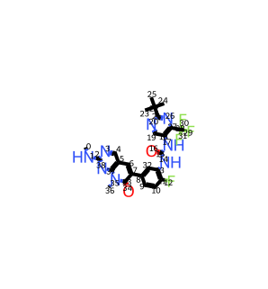 CNc1ncc2cc(-c3ccc(F)c(NC(=O)Nc4cnc(C(C)(C)C)nc4C(F)(F)F)c3)c(=O)n(C)c2n1